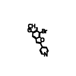 COc1cc(Br)c2oc(-c3ccncc3)cc2c1